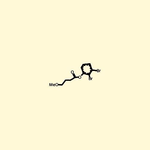 COCCCC(=O)Oc1cccc(Br)c1Br